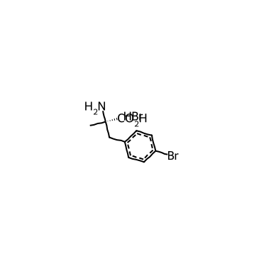 Br.C[C@@](N)(Cc1ccc(Br)cc1)C(=O)O